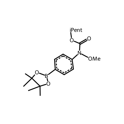 CCCC(C)OC(=O)N(OC)c1ccc(B2OC(C)(C)C(C)(C)O2)cc1